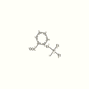 CC[P+](C)(CC)CC.O=C([O-])c1ccccc1